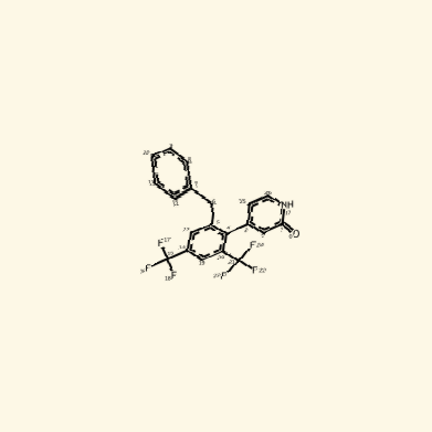 O=c1cc(-c2c(Cc3ccccc3)cc(C(F)(F)F)cc2C(F)(F)F)cc[nH]1